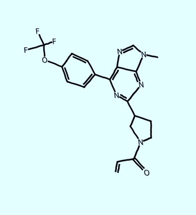 C=CC(=O)N1CCC(c2nc(-c3ccc(OC(F)(F)F)cc3)c3ncn(C)c3n2)C1